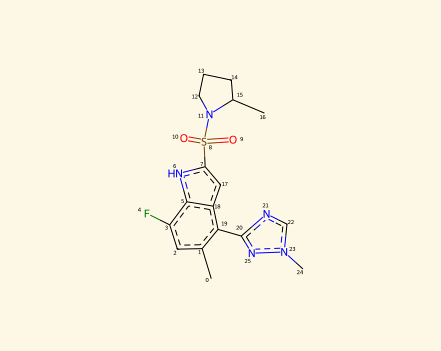 Cc1cc(F)c2[nH]c(S(=O)(=O)N3CCCC3C)cc2c1-c1ncn(C)n1